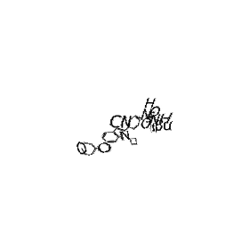 CC[C@H](C)NS(=O)(=O)Nc1ccc(-c2c(C#N)c3ccc(OC4CCOCC4)cc3n2C2CCC2)cc1